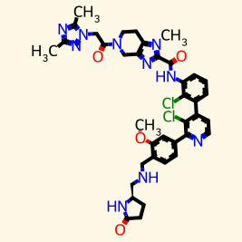 COc1cc(-c2nccc(-c3cccc(NC(=O)c4nc5c(n4C)CCN(C(=O)Cn4nc(C)nc4C)C5)c3Cl)c2Cl)ccc1CNC[C@H]1CCC(=O)N1